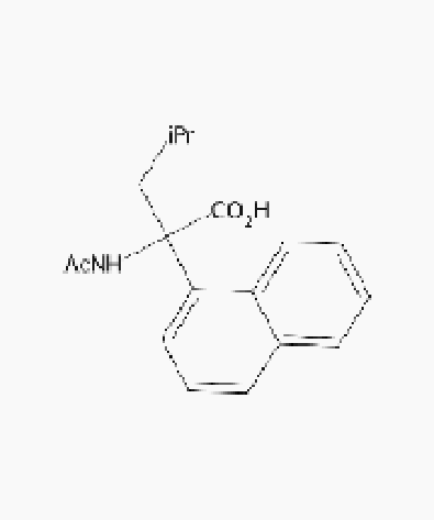 CC(=O)NC(CC(C)C)(C(=O)O)c1cccc2ccccc12